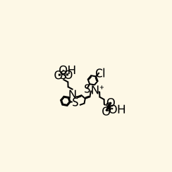 CCC(=CC1=[N+](CCCCS(=O)(=O)O)C2C=C(Cl)C=CC2S1)C=C1Sc2ccccc2N1CCCCS(=O)(=O)O